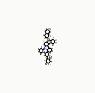 c1ccc(-n2c3ccccc3c3c4c5ccccc5n(-c5ccc6ccccc6c5)c4ccc32)c(-c2ccc3oc4ccccc4c3c2)c1